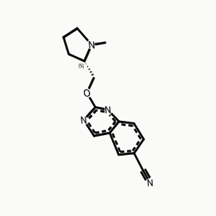 CN1CCC[C@H]1COc1ncc2cc(C#N)ccc2n1